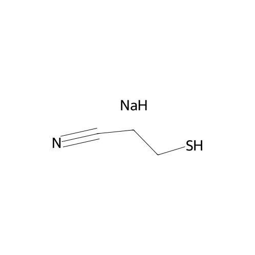 N#CCCS.[NaH]